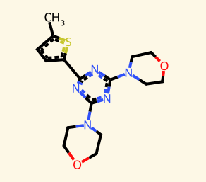 Cc1ccc(-c2nc(N3CCOCC3)nc(N3CCOCC3)n2)s1